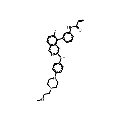 C=CC(=O)Nc1cccc(-c2c(F)ccc3cnc(Nc4ccc(N5CCN(CCOC)CC5)cc4)nc23)c1